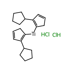 C1=CC(C2CCCC2)=[C]([Ti][C]2=C(C3CCCC3)C=CC2)C1.Cl.Cl